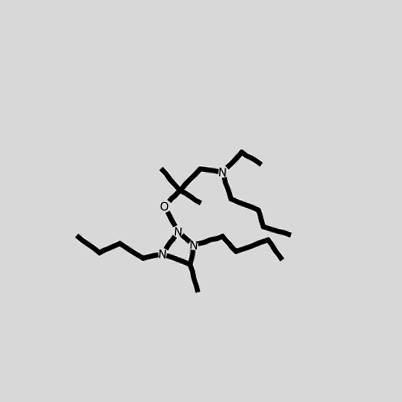 CCCCN(CC)CC(C)(C)ON1N(CCCC)C(C)N1CCCC